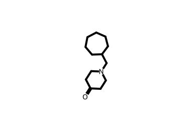 O=C1CCN(CC2CCCCCC2)CC1